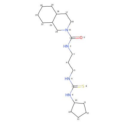 O=C(NCCCNC(=S)NC1CCCC1)N1CCC2CCCCC2C1